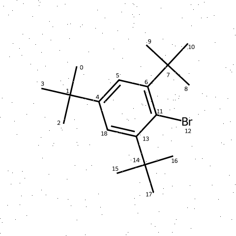 CC(C)(C)c1cc(C(C)(C)C)c(Br)c(C(C)(C)C)c1